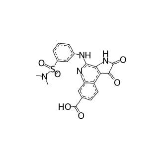 CN(C)S(=O)(=O)c1cccc(Nc2nc3cc(C(=O)O)ccc3c3c2NC(=O)C3=O)c1